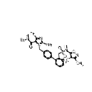 CCCc1nc(CC)c(C(=O)NCC)n1Cc1ccc(-c2ccccc2CS(=O)(=O)Nc2onc(C)c2C)cc1